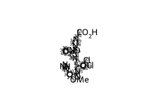 COc1ccc(-n2cnnn2)cc1C(=O)N(C)CC(CCN1CCC(NC(=O)N2CCN(CCC(=O)O)CC2)(c2ccccc2)CC1)c1ccc(Cl)c(Cl)c1